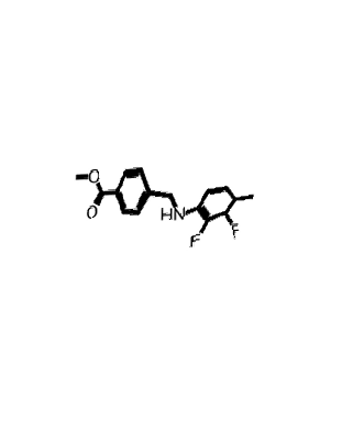 COC(=O)c1ccc(CNC2=C(F)C(F)C(C)C=C2)cc1